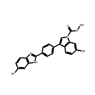 CC(C)(C)OC(=O)n1cc(-c2ccc(-c3nc4ccc(C#N)cc4[nH]3)cc2)c2ccc(C#N)cc21